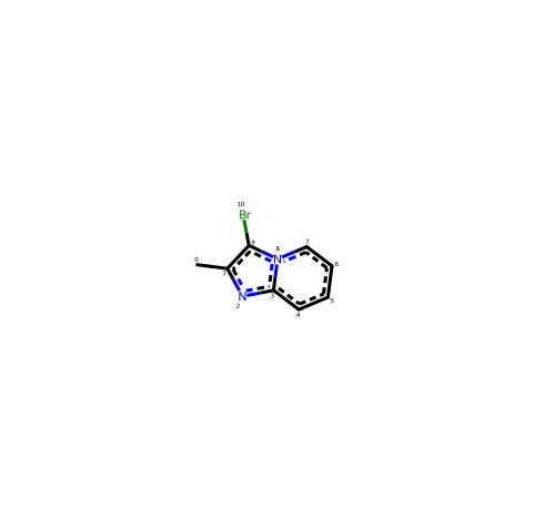 Cc1nc2[c]cccn2c1Br